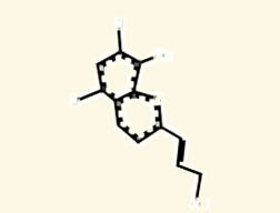 OCC=Cc1ccc2c(Cl)cc(Cl)c(O)c2n1